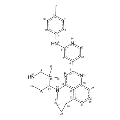 Cc1ccc(Nc2cc(-c3nc(N(C)C4CCNCC4(C)C)c4c(C5CC5)cncc4n3)ccn2)cc1